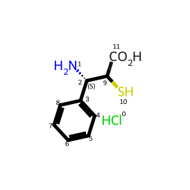 Cl.N[C@@H](c1ccccc1)C(S)C(=O)O